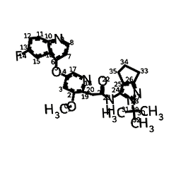 COc1cc(Oc2ccnc3ccc(F)cc23)cnc1CC(=O)Nc1c2c(nn1C(C)(C)C)CCC2